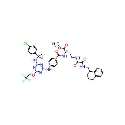 COC(=O)[C@H](CCNC(=O)C(=O)NCC1CCCc2ccccc21)NC(=O)c1ccc(Nc2nc(NC3(c4ccc(Cl)cc4)CC3)nc(OCC(F)(F)F)n2)cc1